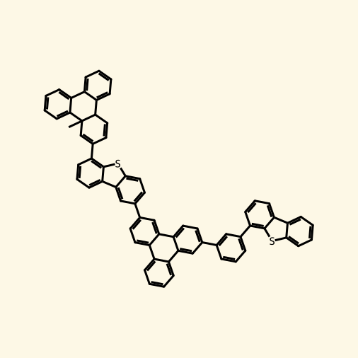 CC12C=C(c3cccc4c3sc3ccc(-c5ccc6c7ccccc7c7cc(-c8cccc(-c9cccc%10c9sc9ccccc9%10)c8)ccc7c6c5)cc34)C=CC1c1ccccc1-c1ccccc12